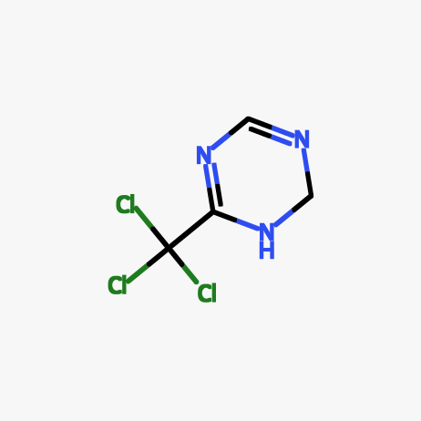 ClC(Cl)(Cl)C1=NC=NCN1